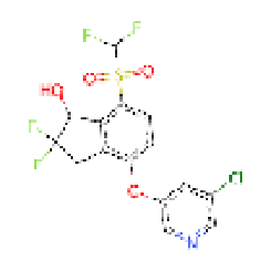 O=S(=O)(c1ccc(Oc2cncc(Cl)c2)c2c1C(O)C(F)(F)C2)C(F)F